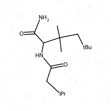 CC(C)CC(=O)NC(C(N)=O)C(C)(C)CC(C)(C)C